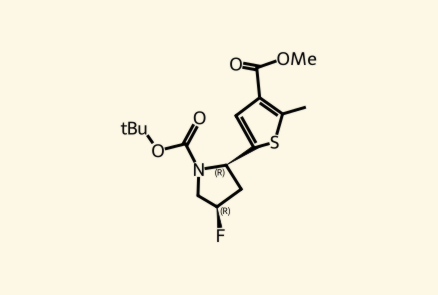 COC(=O)c1cc([C@H]2C[C@@H](F)CN2C(=O)OC(C)(C)C)sc1C